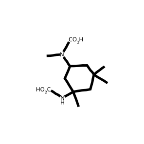 CN(C(=O)O)C1CC(C)(C)CC(C)(NC(=O)O)C1